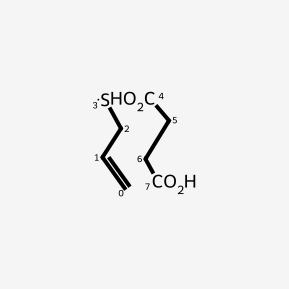 C=CC[S].O=C(O)CCC(=O)O